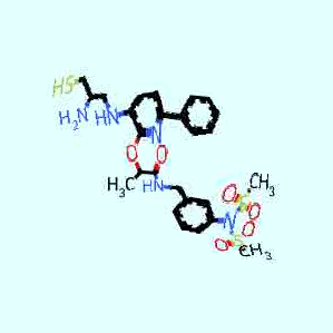 CC(Oc1nc(-c2ccccc2)ccc1NCC(N)CS)C(=O)NCc1cccc(N(S(C)(=O)=O)S(C)(=O)=O)c1